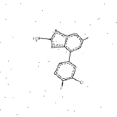 Cc1cc(-c2ccc(F)c(Cl)c2)c2nc(N)nn2c1